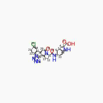 O=C(O)c1cc2cc(NC(=O)[C@H]3CCc4cc(-c5cc(Cl)ccc5-n5cnnn5)cc(=O)n43)ccc2[nH]1